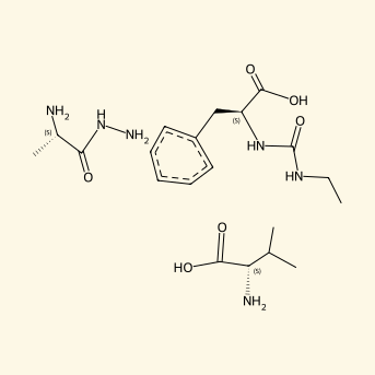 CC(C)[C@H](N)C(=O)O.CCNC(=O)N[C@@H](Cc1ccccc1)C(=O)O.C[C@H](N)C(=O)NN